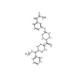 CB(O)Nc1cc(CN2CCC(C(=O)N3CCC(C(CN)c4ccccn4)CC3)CC2)ccn1